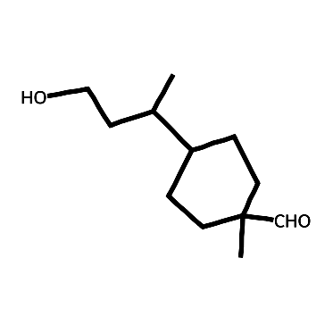 CC(CCO)C1CCC(C)(C=O)CC1